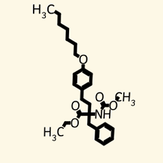 CCCCCCCOc1ccc(CCC(Cc2ccccc2)(NC(=O)OC)C(=O)OCC)cc1